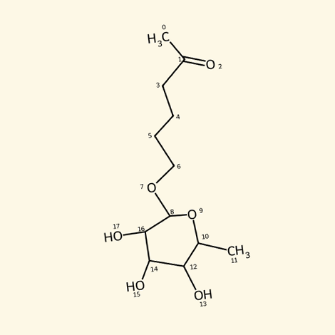 CC(=O)CCCCOC1OC(C)C(O)C(O)C1O